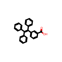 O=C(O)c1cccc(C(=C(c2ccccc2)c2ccccc2)c2ccccc2)c1